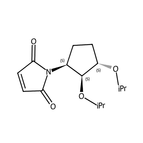 CC(C)O[C@@H]1[C@@H](OC(C)C)CC[C@@H]1N1C(=O)C=CC1=O